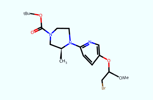 COC(CBr)Oc1ccc(N2CCN(C(=O)OC(C)(C)C)C[C@@H]2C)nc1